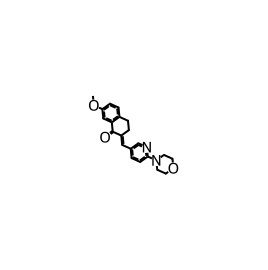 COc1ccc2c(c1)C(=O)/C(=C/c1ccc(N3CCOCC3)nc1)CC2